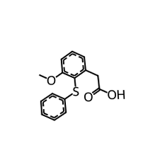 COc1cccc(CC(=O)O)c1Sc1ccccc1